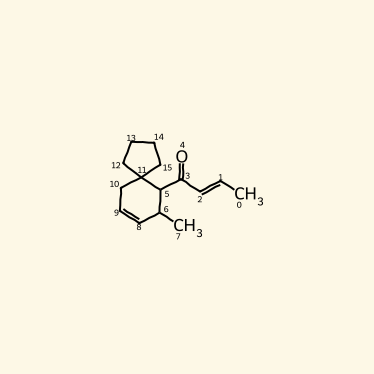 C/C=C/C(=O)C1C(C)C=CCC12CCCC2